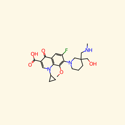 CNCC1(CO)CCCN(c2c(F)cc3c(=O)c(C(=O)O)cn(C4CC4)c3c2OC)C1